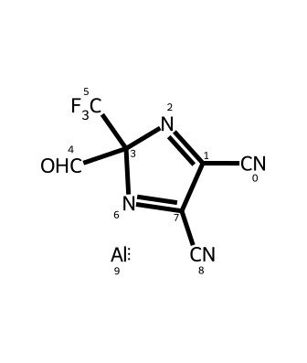 N#CC1=NC(C=O)(C(F)(F)F)N=C1C#N.[Al]